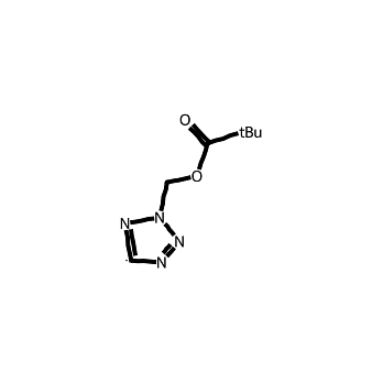 CC(C)(C)C(=O)OCn1n[c]nn1